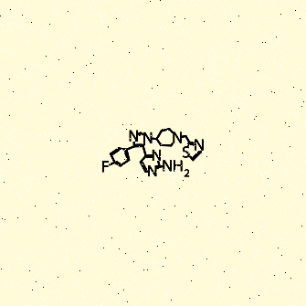 Nc1nccc(-c2c(-c3ccc(F)cc3)ncn2C2CCN(Cc3nccs3)CC2)n1